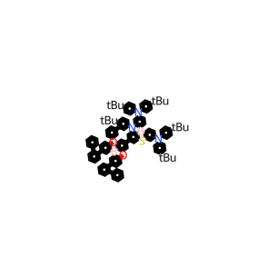 CC(C)(C)c1ccc(N(c2ccc(C(C)(C)C)cc2)c2ccc3c(c2)Sc2cc(-c4cc5c6c(c4)Oc4ccc(-c7ccccc7-c7ccccc7)cc4B6c4cc(-c6ccccc6-c6ccccc6)ccc4O5)cc4c2B3c2ccc(N(c3ccc(C(C)(C)C)cc3)c3ccc(C(C)(C)C)cc3)cc2N4c2ccc(C(C)(C)C)c(-c3ccccc3)c2)cc1